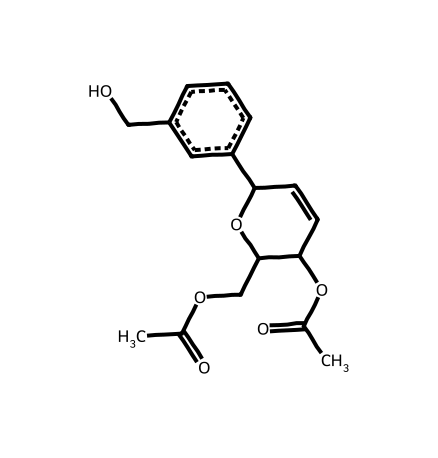 CC(=O)OCC1OC(c2cccc(CO)c2)C=CC1OC(C)=O